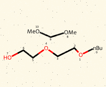 CCCCOCCOCCO.COCOC